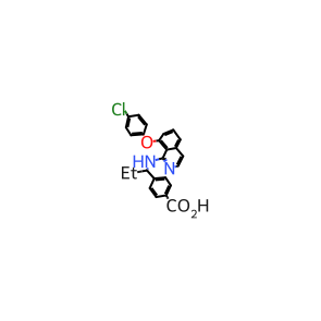 CCC(Nc1nccc2cccc(Oc3ccc(Cl)cc3)c12)c1ccc(C(=O)O)cc1